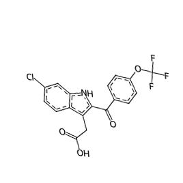 O=C(O)Cc1c(C(=O)c2ccc(OC(F)(F)F)cc2)[nH]c2cc(Cl)ccc12